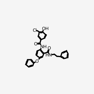 O=C(Nc1ccc(Oc2ccccc2)cc1C(=O)NCCc1ccccc1)c1ccc(O)c(Cl)c1